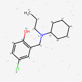 CCCN(Cc1cc(Cl)ccc1O)C1CCCCC1